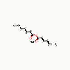 C/C=C/C=C/C(=O)OC(=O)CCCCCCCCCCCCC.[KH]